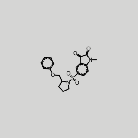 CN1C(=O)C(=O)c2cc(S(=O)(=O)N3CCCC3COc3ccccc3)ccc21